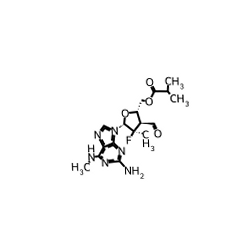 CNc1nc(N)nc2c1ncn2[C@@H]1O[C@H](COC(=O)C(C)C)[C@@H](C=O)[C@@]1(C)F